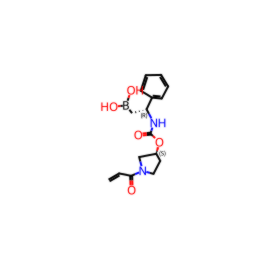 C=CC(=O)N1CC[C@H](OC(=O)N[C@H](CB(O)O)c2ccccc2)C1